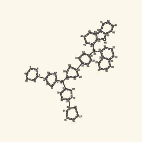 c1ccc(-c2ccc(N(c3ccc(-c4ccccc4)cc3)c3ccc(-c4ccc(N(c5cccc6ccccc56)c5cccc6c5oc5ccccc56)cc4)cc3)cc2)cc1